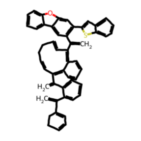 C=C(C1=CC=CCC1)c1ccccc1C(=C)C1=c2\cccc\c2=C(C(=C)c2cc3c(cc2-c2cc4ccccc4s2)oc2ccccc23)\C=C\CC\C=C\1